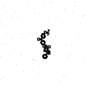 O=C(c1ccc(OC(F)F)cc1)N1CCC(O)(Cn2cnc3c(cnn3-c3ccccc3)c2=O)CC1